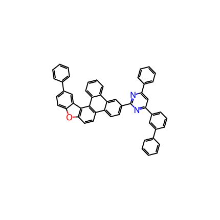 c1ccc(-c2cccc(-c3cc(-c4ccccc4)nc(-c4ccc5c(c4)c4ccccc4c4c5ccc5oc6ccc(-c7ccccc7)cc6c54)n3)c2)cc1